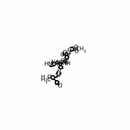 CC1(C)CCC(CN2CCN(c3ccc(C(=O)NS(=O)(=O)c4ccc(NC[C@@H]5CN(S(C)(=O)=O)CCO5)c([N+](=O)[O-])c4)c(-n4ncc5nc6[nH]ccc6cc54)c3)CC2)=C(c2ccc(Cl)cc2)C1